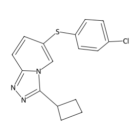 Clc1ccc(Sc2ccc3nnc(C4CCC4)n3c2)cc1